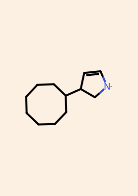 C1=CC(C2CCCCCCC2)C[N]1